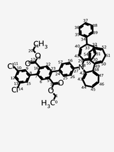 CCOC(=O)c1cc(-c2cc(Cl)cc(Cl)c2)c(C(=O)OCC)cc1-c1ccc(N(C2=CC=CC(c3ccccc3)C=C2)C2=CCC=CC=C2C2=CCC=CC=C2)cc1